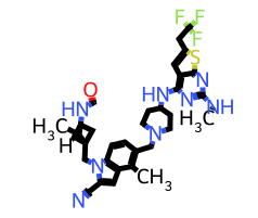 CNc1nc(NC2CCN(Cc3ccc4c(cc(C#N)n4CC45CC(NC=O)(C4)[C@H]5C)c3C)CC2)c2cc(CC(F)(F)F)sc2n1